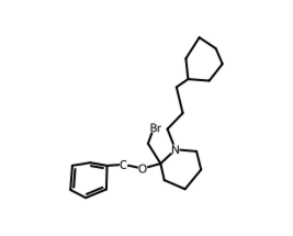 BrCC1(OCc2ccccc2)CCCCN1CCCC1CCCCC1